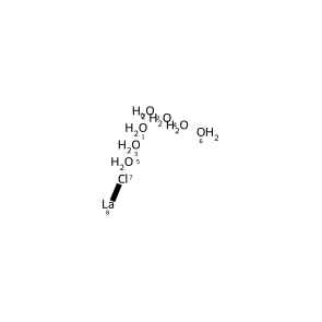 O.O.O.O.O.O.O.[Cl][La]